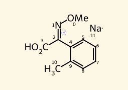 CO/N=C(/C(=O)O)c1ccccc1C.[Na]